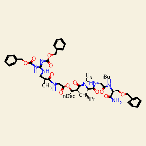 CCCCCCCCCC[C@H](OC(=O)CNC(=O)[C@@H](C)CN/C(=N\C(=O)OCc1ccccc1)NC(=O)OCc1ccccc1)[C@@H](C)C(=O)N(C)[C@@H](CC(C)C)C(=O)N[C@H](C(=O)N[C@@H](COCc1ccccc1)C(N)=O)[C@H](C)CC